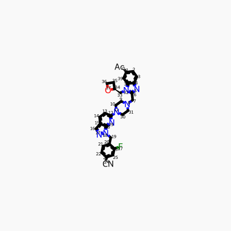 CC(=O)c1ccc2nc(CN3CCN(c4ccc5cnn(Cc6ccc(C#N)cc6F)c5n4)CC3)n(C[C@@H]3CCO3)c2c1